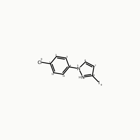 Clc1ccc(-n2ccc(I)n2)cc1